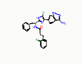 Nc1n[nH]c2cc(-c3nc([C@H](Cc4ccccc4)NC(=O)CCc4ccccc4F)[nH]c3Cl)ccc12